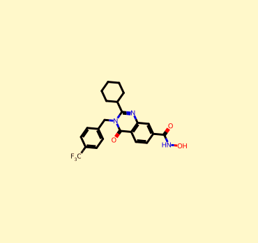 O=C(NO)c1ccc2c(=O)n(Cc3ccc(C(F)(F)F)cc3)c(C3CCCCC3)nc2c1